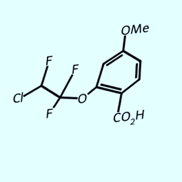 COc1ccc(C(=O)O)c(OC(F)(F)C(F)Cl)c1